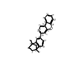 CC12CCC(C)(C1)c1cc(-c3cc4oc5ccccc5c4cn3)ccc12